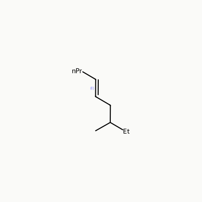 [CH2]CC(C)C/C=C/CCC